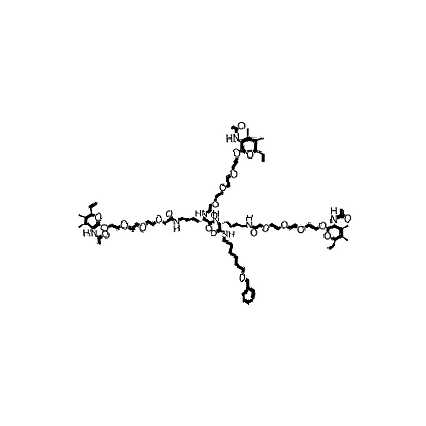 CC[C@H]1O[C@@H](OCCOCCOCCOCC(=O)NCCCC[C@H](NC(=O)COCCOCCOCCO[C@@H]2O[C@H](CC)[C@H](C)[C@H](C)[C@H]2NC(C)=O)C(=O)N[C@H](CCCCNC(=O)COCCOCCOCCO[C@@H]2O[C@H](CC)[C@H](C)[C@H](C)[C@H]2NC(C)=O)C(=O)NCCCCCCOCc2ccccc2)[C@H](NC(C)=O)[C@@H](C)[C@H]1C